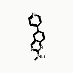 CNc1ncc2cc(-c3ccncc3)ccc2n1